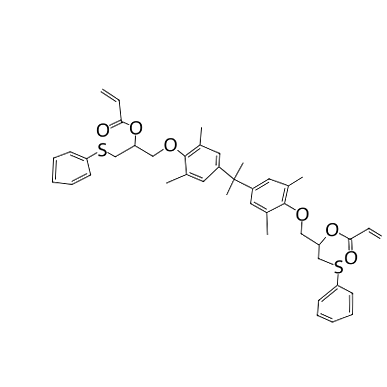 C=CC(=O)OC(COc1c(C)cc(C(C)(C)c2cc(C)c(OCC(CSc3ccccc3)OC(=O)C=C)c(C)c2)cc1C)CSc1ccccc1